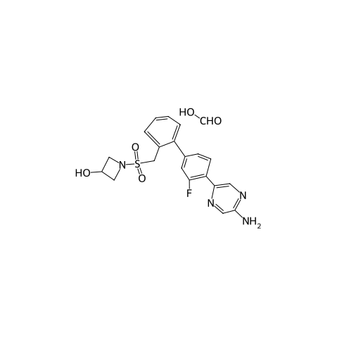 Nc1cnc(-c2ccc(-c3ccccc3CS(=O)(=O)N3CC(O)C3)cc2F)cn1.O=CO